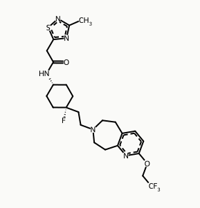 Cc1nsc(CC(=O)N[C@H]2CC[C@](F)(CCN3CCc4ccc(OCC(F)(F)F)nc4CC3)CC2)n1